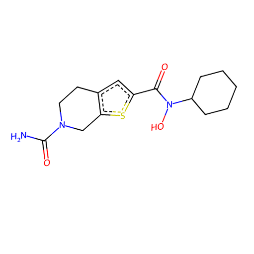 NC(=O)N1CCc2cc(C(=O)N(O)C3CCCCC3)sc2C1